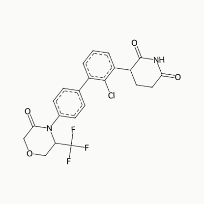 O=C1CCC(c2cccc(-c3ccc(N4C(=O)COCC4C(F)(F)F)cc3)c2Cl)C(=O)N1